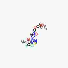 COC(=O)C1=C(CN2CCN3C(=O)N(c4ccc(Oc5ccc(P(C)(C)=O)cc5)cc4)C[C@@H]3C2)NC(c2nccs2)=N[C@H]1c1ccc(F)cc1Cl